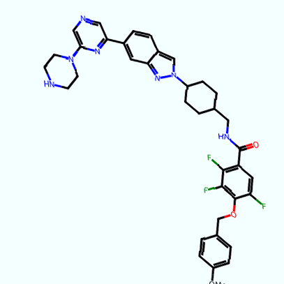 COc1ccc(COc2c(F)cc(C(=O)NCC3CCC(n4cc5ccc(-c6cncc(N7CCNCC7)n6)cc5n4)CC3)c(F)c2F)cc1